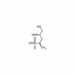 C=C(C[C@@H](O)CO)S(=O)(=O)Cl